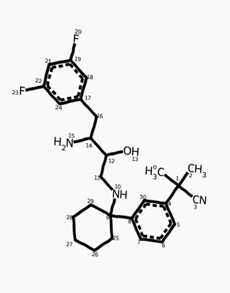 CC(C)(C#N)c1cccc(C2(NCC(O)C(N)Cc3cc(F)cc(F)c3)CCCCC2)c1